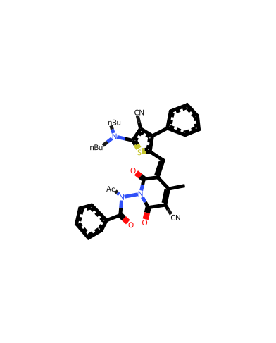 CCCCN(CCCC)c1sc(/C=C2\C(=O)N(N(C(C)=O)C(=O)c3ccccc3)C(=O)C(C#N)=C2C)c(-c2ccccc2)c1C#N